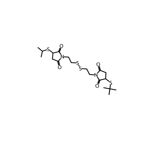 CC(C)SC1CC(=O)N(CCSSCCN2C(=O)CC(SC(C)(C)C)C2=O)C1=O